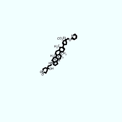 CCOC(=O)C1(COc2ccccn2)CC=C(C2=CC[C@@]3(C)C(CC[C@]4(C)C3CC[C@@H]3[C@H]5CCC[C@]5(NCCC5(O)CCS(=O)(=O)CC5)CC[C@]34C)C2C)CC1